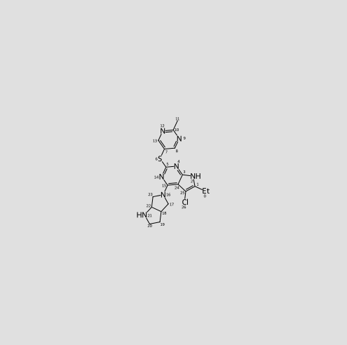 CCc1[nH]c2nc(Sc3cnc(C)nc3)nc(N3CC4CCNC4C3)c2c1Cl